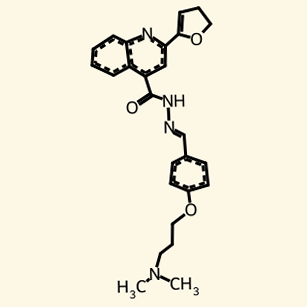 CN(C)CCCOc1ccc(/C=N/NC(=O)c2cc(C3=CCCO3)nc3ccccc23)cc1